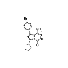 Nc1n[nH]c(=O)c2c(C3CCCC3)nn(-c3ccc(Br)cc3)c12